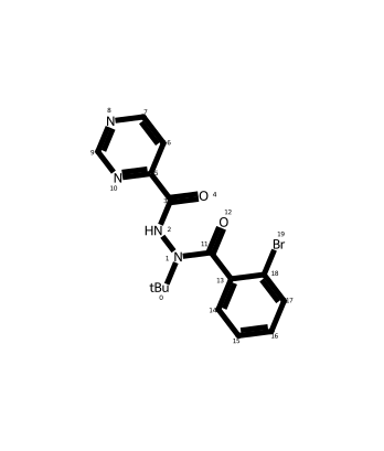 CC(C)(C)N(NC(=O)c1ccncn1)C(=O)c1ccccc1Br